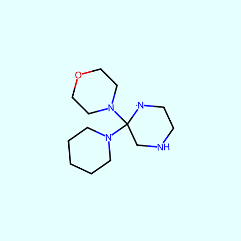 C1CCN(C2(N3CCOCC3)CNCC[N]2)CC1